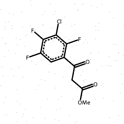 COC(=O)CC(=O)c1cc(F)c(F)c(Cl)c1F